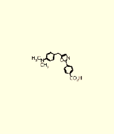 CN(C)c1ccc(Cc2cnc(-c3ccc(C(=O)O)cc3)o2)cc1